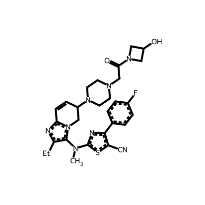 CCc1nc2n(c1N(C)c1nc(-c3ccc(F)cc3)c(C#N)s1)CC(N1CCN(CC(=O)N3CC(O)C3)CC1)C=C2